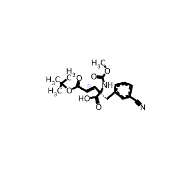 COC(=O)N[C@@](/C=C/C(=O)OC(C)(C)C)(Cc1cccc(C#N)c1)C(=O)O